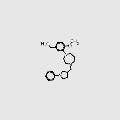 CCc1ccc(OC)c(N2CCCN(CC3CCN(c4ccccc4)C3)CC2)c1